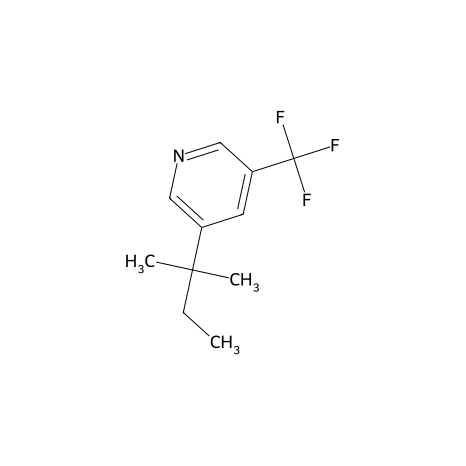 CCC(C)(C)c1cncc(C(F)(F)F)c1